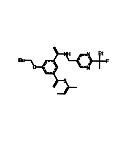 C=C(NCc1cnc(C(C)(F)CC)nc1)c1cc(OCC(C)CC)cc(C(=C)S/C(C)=C\C)c1